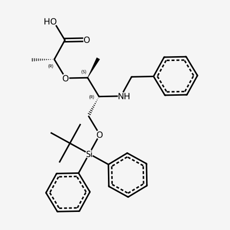 C[C@H](O[C@H](C)C(=O)O)[C@@H](CO[Si](c1ccccc1)(c1ccccc1)C(C)(C)C)NCc1ccccc1